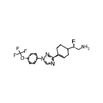 NCC(F)C1CC=C(c2ncn(-c3ccc(OC(F)(F)F)cc3)n2)CC1